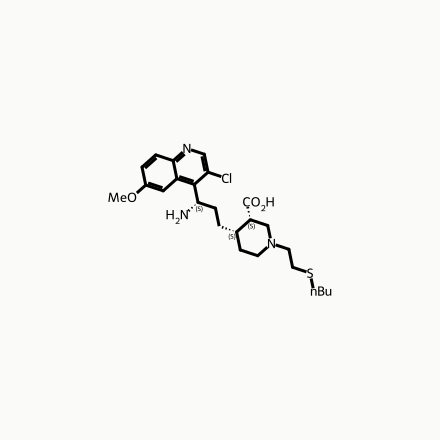 CCCCSCCN1CC[C@H](CC[C@H](N)c2c(Cl)cnc3ccc(OC)cc23)[C@H](C(=O)O)C1